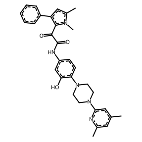 Cc1cc(C)nc(N2CCN(c3ccc(NC(=O)C(=O)c4c(-c5ccccc5)cc(C)n4C)cc3O)CC2)c1